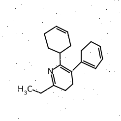 CCC1=NC(C2CC=CCC2)=C(C2=CC=CCC2)CC1